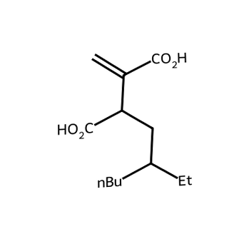 C=C(C(=O)O)C(CC(CC)CCCC)C(=O)O